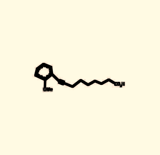 COc1ccccc1C#CCCCCCCC(=O)O